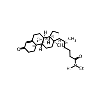 CCN(CC)C(=O)CCC[C@@H](C)[C@H]1CC[C@H]2[C@@H]3CCC4=CC(=O)CC[C@]4(C)[C@H]3CC[C@]12C